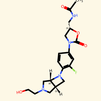 CC(=O)NC[C@H]1CN(c2ccc(N3C[C@@H]4CN(CCO)C[C@@H]43)c(F)c2)C(=O)O1